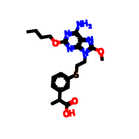 CCCCOc1nc(N)c2nc(OC)n(CCSc3cccc(C(C)C(=O)O)c3)c2n1